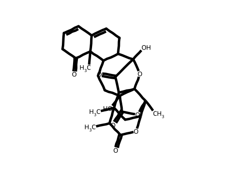 CC1C(=O)OC2CC1(C)C1C(=O)C3(O)OC14C(O)(CCC1C3CC=C3C=CCC(=O)C31C)C(=O)OC24C